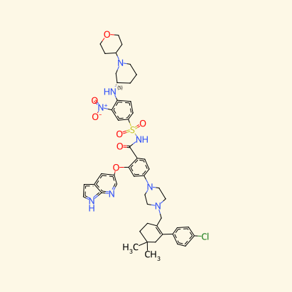 CC1(C)CCC(CN2CCN(c3ccc(C(=O)NS(=O)(=O)c4ccc(N[C@H]5CCCN(C6CCOCC6)C5)c([N+](=O)[O-])c4)c(Oc4cnc5[nH]ccc5c4)c3)CC2)=C(c2ccc(Cl)cc2)C1